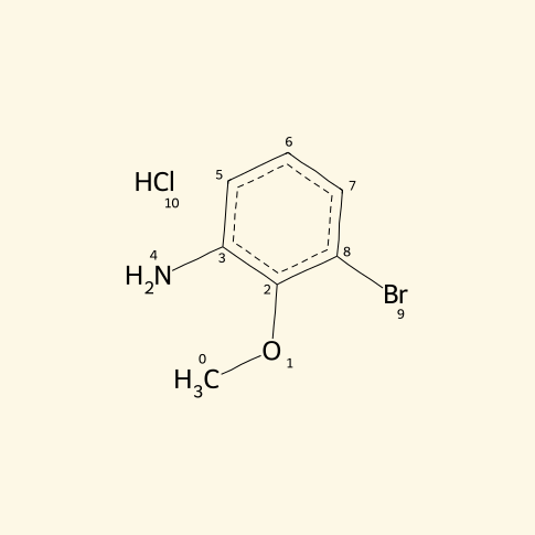 COc1c(N)cccc1Br.Cl